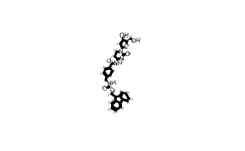 O=C(NCc1ccc(C(=O)NC2=NC(=O)N([C@H]3C[C@@H](O)[C@@H](CO)O3)CC2)cc1)OCC1c2ccccc2-c2ccccc21